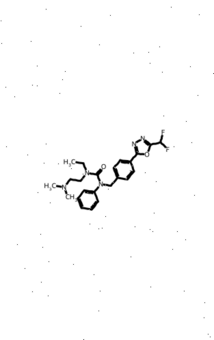 CCN(CCN(C)C)C(=O)N(Cc1ccc(-c2nnc(C(F)F)o2)cc1)c1ccccc1